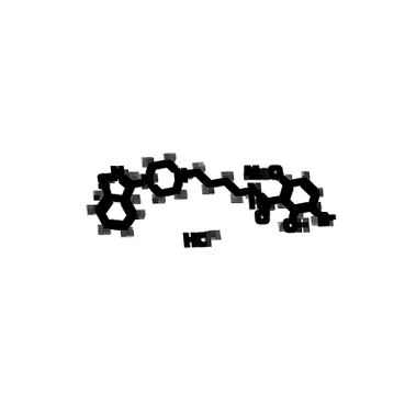 COc1ccc(Br)c(O)c1C(=O)NCCCCN1CCN(c2nsc3ccccc23)CC1.Cl